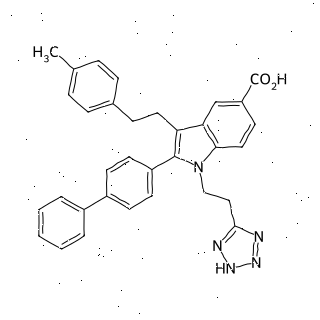 Cc1ccc(CCc2c(-c3ccc(-c4ccccc4)cc3)n(CCc3nn[nH]n3)c3ccc(C(=O)O)cc23)cc1